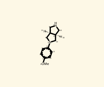 COc1ccc(N2C[C@H]3CNC[C@H]3C2)cc1